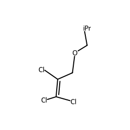 CC(C)COCC(Cl)=C(Cl)Cl